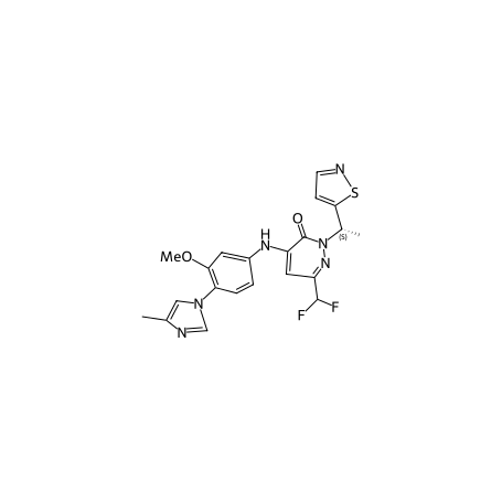 COc1cc(Nc2cc(C(F)F)nn([C@@H](C)c3ccns3)c2=O)ccc1-n1cnc(C)c1